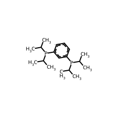 CC(C)P(c1[c]ccc(P(C(C)C)C(C)C)c1)C(C)C